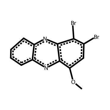 COc1cc(Br)c(Br)c2nc3ccccc3nc12